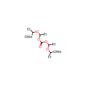 CCC(OC)OC(CC)OC(=O)OC(CC)OC(CC)OC